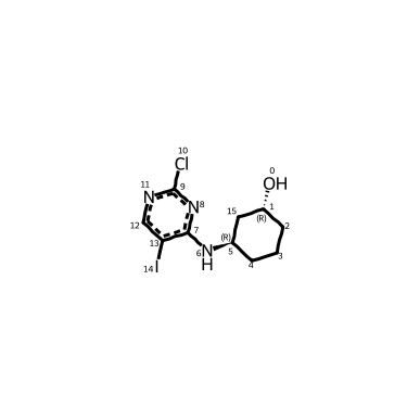 O[C@@H]1CCC[C@@H](Nc2nc(Cl)ncc2I)C1